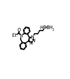 BBCCCCn1nnc2c1-c1ccccc1N(C(=O)CC)Cc1ccccc1-2